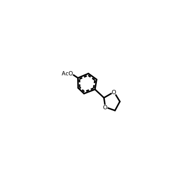 CC(=O)Oc1ccc(C2OCCO2)cc1